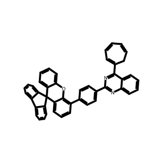 C1=CC=C(c2nc(-c3ccc(-c4cccc5c4Oc4ccccc4C54c5ccccc5-c5ccccc54)cc3)nc3ccccc23)CC=C1